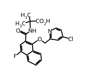 CC(C)(NC(=O)c1cc(F)c2ccccc2c1OCc1cc(Cl)ccn1)C(=O)O